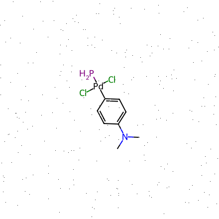 CN(C)c1cc[c]([Pd]([PH2])([Cl])[Cl])cc1